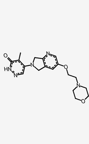 Cc1c(N2Cc3cc(OCCN4CCOCC4)cnc3C2)cn[nH]c1=O